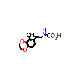 Cc1c(CCNC(=O)O)ccc2c1OCCO2